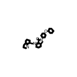 O=C1c2c(cccc2NCc2cccc3cccnc23)CN1c1ccc(Oc2ccccc2)cc1